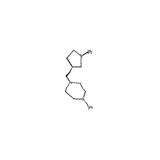 CC(C)N1CCN(C[C@H]2CCN(C(C)C)C2)CC1